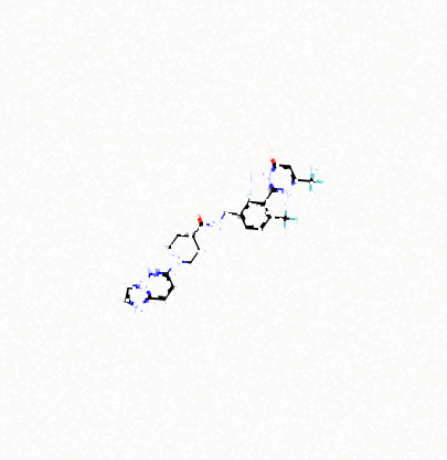 O=C(NCc1ccc(C(F)(F)F)c(-c2nc(C(F)(F)F)cc(=O)[nH]2)c1F)C1CCN(c2ccc3nccn3n2)CC1